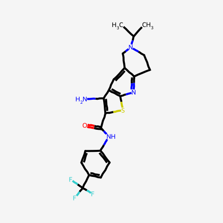 CC(C)N1CCc2nc3sc(C(=O)Nc4ccc(C(F)(F)F)cc4)c(N)c3cc2C1